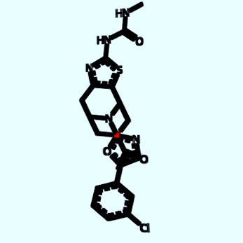 CNC(=O)Nc1nc2c(s1)C1CN(C(C)=O)CC(C2)N1c1ncc(-c2cccc(Cl)c2)o1